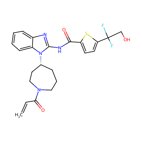 C=CC(=O)N1CCC[C@@H](n2c(NC(=O)c3ccc(C(F)(F)CO)s3)nc3ccccc32)CC1